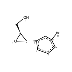 OC[C@@H]1O[C@H]1c1cccc(Br)c1